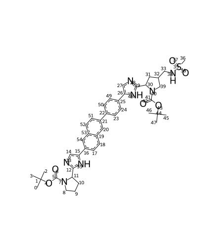 CC(C)(C)OC(=O)N1CCCC1c1ncc(-c2ccc3cc(-c4ccc(-c5cnc(C6CC(CNS(C)(=O)=O)CN6C(=O)OC(C)(C)C)[nH]5)cc4)ccc3c2)[nH]1